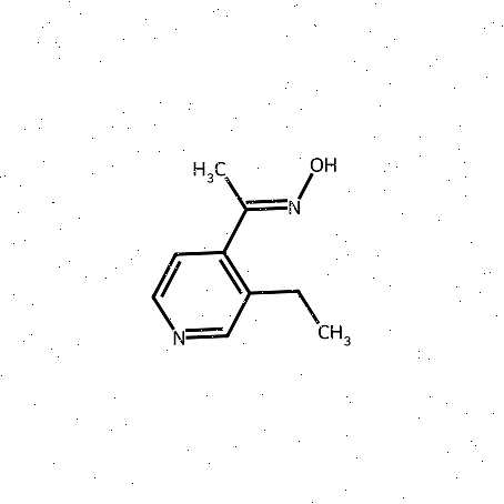 CCc1cnccc1C(C)=NO